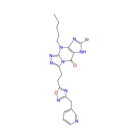 CCCCCn1c2nc(Br)[nH]c2c(=O)n2c(CCc3nc(Cc4cccnc4)no3)nnc12